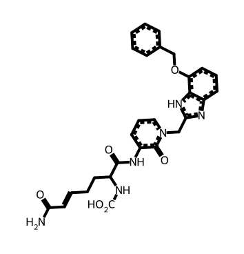 NC(=O)C=CCCC(NC(=O)O)C(=O)Nc1cccn(Cc2nc3cccc(OCc4ccccc4)c3[nH]2)c1=O